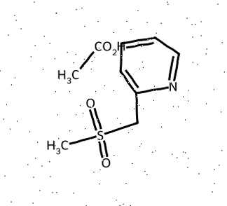 CC(=O)O.CS(=O)(=O)Cc1ccccn1